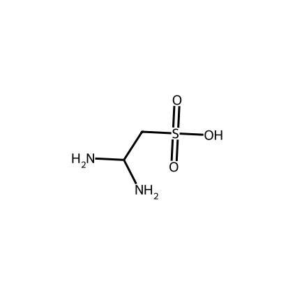 NC(N)CS(=O)(=O)O